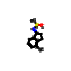 [C-]#[N+]c1cccc2c1CC/C2=N\[S@+]([O-])C(C)(C)C